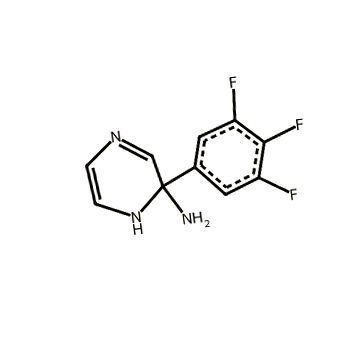 NC1(c2cc(F)c(F)c(F)c2)C=NC=CN1